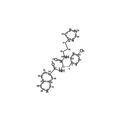 O=C(N[C@@H](Cc1ccc(Cl)cc1)C(=O)NCCCc1ccncc1)c1ccc2ccccc2c1